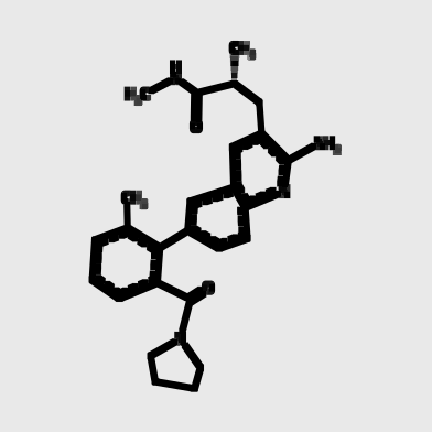 CNC(=O)[C@H](C)Cc1cc2cc(-c3c(C)cccc3C(=O)N3CCCC3)ccc2nc1N